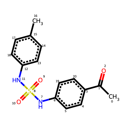 CC(=O)c1ccc(NS(=O)(=O)Nc2ccc(C)cc2)cc1